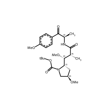 COc1ccc(C(=O)[C@@H](C)NC(=O)[C@H](C)[C@@H](OC)[C@@H]2C[C@@H](OC)CN2C(=O)OC(C)(C)C)cc1